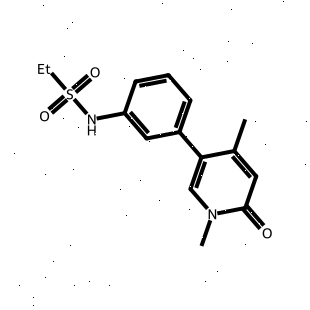 CCS(=O)(=O)Nc1cccc(-c2cn(C)c(=O)cc2C)c1